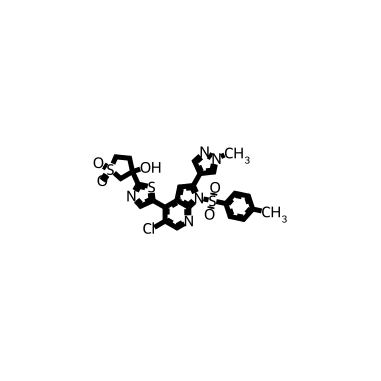 Cc1ccc(S(=O)(=O)n2c(-c3cnn(C)c3)cc3c(-c4cnc(C5(O)CCS(=O)(=O)C5)s4)c(Cl)cnc32)cc1